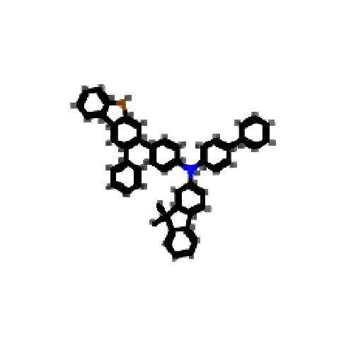 CC1(C)c2ccccc2-c2ccc(N(c3ccc(-c4ccccc4)cc3)c3ccc(-c4cc5sc6ccccc6c5cc4-c4ccccc4)cc3)cc21